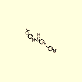 CC(C)Oc1ccc(N(C)CCC2(O)CCN(CCc3ccc(N(C)C)cc3)CC2)cc1